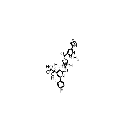 Cn1nc(-c2cscn2)cc1C(=O)N1C[C@@H]2[C@H](C1)[C@@H]2Oc1cc(C(C)(C)C(=O)O)cc(-c2ccc(F)cc2)n1